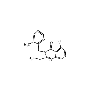 CCc1nc2cccc(Cl)c2c(=O)n1Cc1ccccc1C